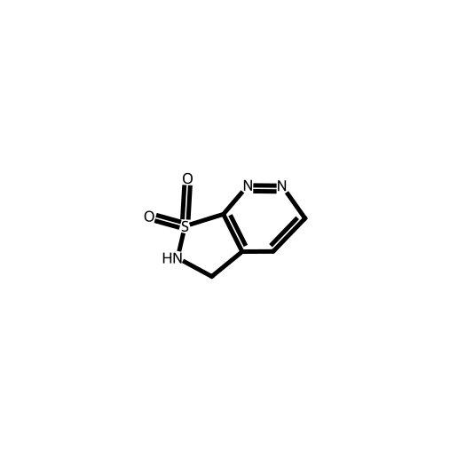 O=S1(=O)NCc2ccnnc21